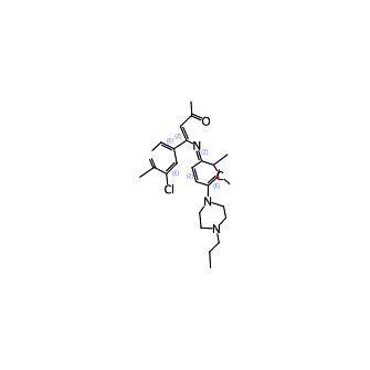 C=C(C)\C(Cl)=C/C(=C\C)C(=C/C(C)=O)/N=C(\C=C/C(=C\C)N1CCN(CCC)CC1)C(C)CC